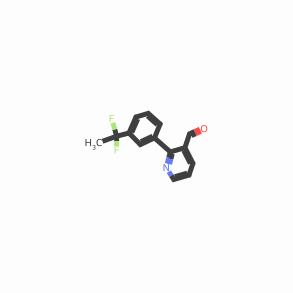 CC(F)(F)c1cccc(-c2ncccc2C=O)c1